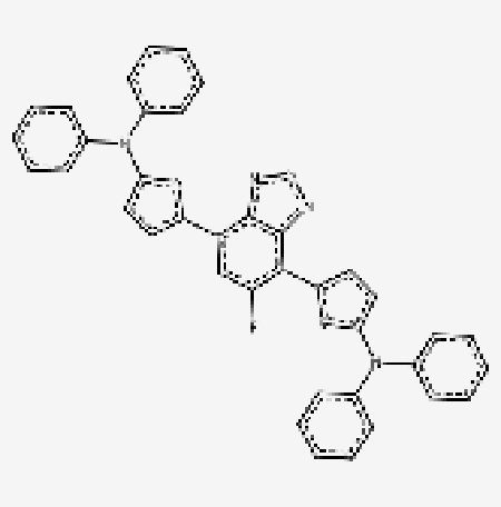 Fc1cc(-c2ccc(N(c3ccccc3)c3ccccc3)s2)c2nsnc2c1-c1ccc(N(c2ccccc2)c2ccccc2)s1